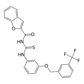 O=C(NC(=S)Nc1cccc(OCc2cccc(C(F)(F)F)c2)c1)c1cc2ccccc2o1